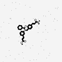 COC(=O)/C=C/c1cccc(N(Cc2ccc(/C=C/C(=O)N(C)C)cc2)C(=O)C2CCCCC2)c1